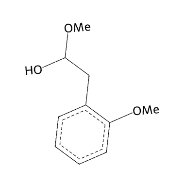 COc1ccccc1CC(O)OC